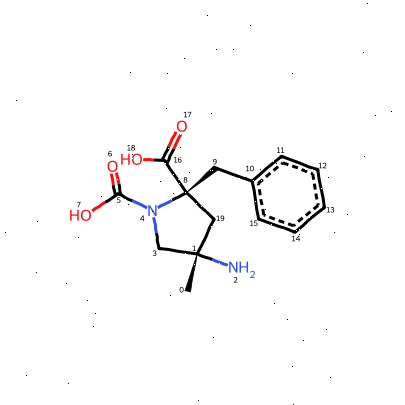 C[C@@]1(N)CN(C(=O)O)[C@](Cc2ccccc2)(C(=O)O)C1